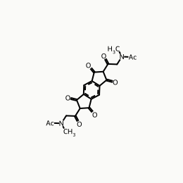 CC(=O)N(C)CC(=O)C1C(=O)c2cc3c(cc2C1=O)C(=O)C(C(=O)CN(C)C(C)=O)C3=O